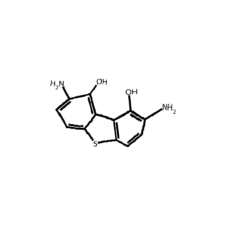 Nc1ccc2sc3ccc(N)c(O)c3c2c1O